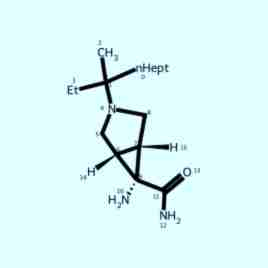 CCCCCCCC(C)(CC)N1C[C@@H]2[C@H](C1)[C@@]2(N)C(N)=O